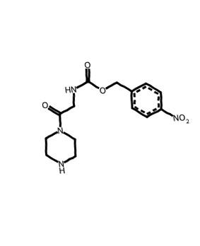 O=C(NCC(=O)N1CCNCC1)OCc1ccc([N+](=O)[O-])cc1